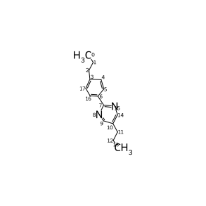 CCCc1ccc(-c2ncc(CCC)cn2)cc1